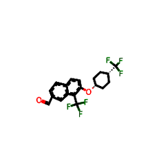 O=Cc1ccc2ccc(O[C@H]3CC[C@@H](C(F)(F)F)CC3)c(C(F)(F)F)c2c1